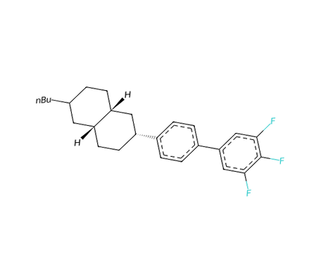 CCCCC1CC[C@@H]2C[C@H](c3ccc(-c4cc(F)c(F)c(F)c4)cc3)CC[C@@H]2C1